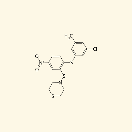 Cc1cc(Cl)cc(Sc2ccc([N+](=O)[O-])cc2SN2CCSCC2)c1